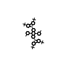 Cc1cccc(-c2c3ccc(-n4c5ccc(C(C)(C)C)cc5c5cc(C(C)(C)C)ccc54)cc3c(-c3cccc(C)c3)c3ccc(-n4c5ccc(C(C)(C)C)cc5c5cc(C(C)(C)C)ccc54)cc23)c1